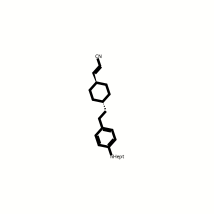 CCCCCCCc1ccc(CC[C@H]2CC[C@H](C=CC#N)CC2)cc1